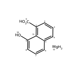 O=C(O)c1cccc2cccc(O)c12.[MgH2]